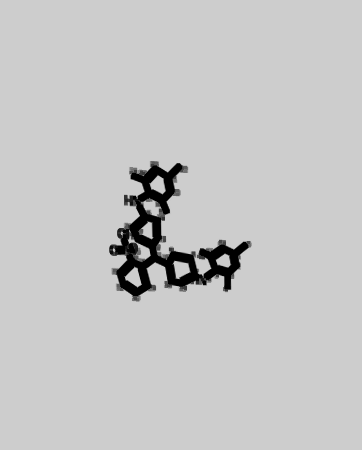 Cc1cc(C)c(Nc2ccc(C(c3ccc(Nc4c(C)cc(C)cc4C)cc3)c3ccccc3S(=O)(=O)O)cc2)c(C)c1